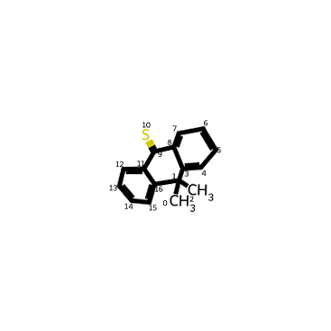 CC1(C)c2ccccc2C(=S)c2ccccc21